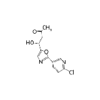 CC(=O)CC(O)c1cnc(-c2ccc(Cl)nc2)o1